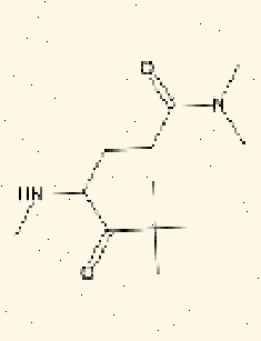 CNC(CCC(=O)N(C)C)C(=O)C(C)(C)C